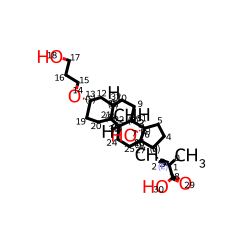 C/C(=C\[C@H]1CC[C@]2(O)[C@@H]3CC[C@@H]4C[C@@H](OCCCO)CC[C@]4(C)[C@H]3CC[C@]12C)C(=O)O